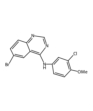 COc1ccc(Nc2ncnc3ccc(Br)cc23)cc1Cl